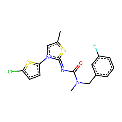 Cc1cn(-c2ccc(Cl)s2)c(=NC(=O)N(C)Cc2cccc(F)c2)s1